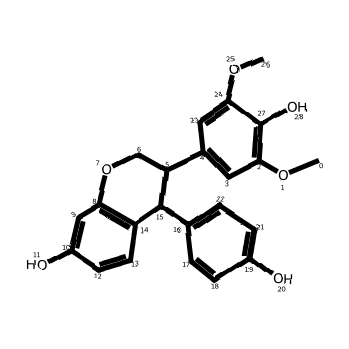 COc1cc(C2COc3cc(O)ccc3C2c2ccc(O)cc2)cc(OC)c1O